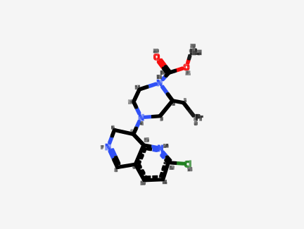 CC(C)CC1CN(C2CN=Cc3ccc(Cl)nc32)CCN1C(=O)OC(C)(C)C